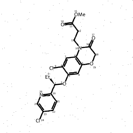 CC[C@@H](Oc1cc2c(cc1Cl)N(CCC(=O)OC)C(=O)CO2)c1ccc(Cl)cn1